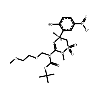 COCCOCN(C(=O)OC(C)(C)C)C1=N[C@](C)(c2cc([N+](=O)[O-])ccc2O)CS(=O)(=O)N1C